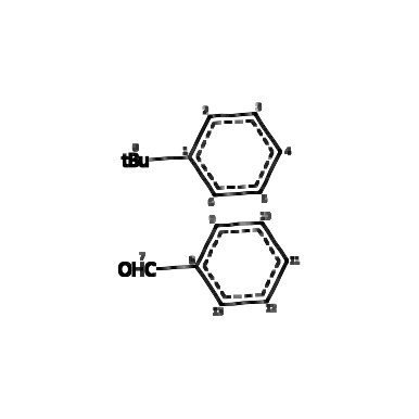 CC(C)(C)c1ccccc1.O=Cc1ccccc1